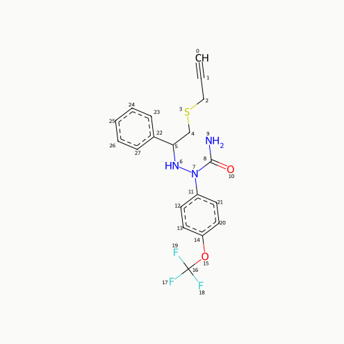 C#CCSCC(NN(C(N)=O)c1ccc(OC(F)(F)F)cc1)c1ccccc1